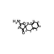 NC1=NC(=O)C2(CCc3ccccc3C2)O1